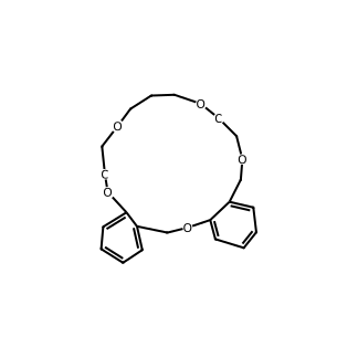 c1ccc2c(c1)COCCOCCCOCCOc1ccccc1CO2